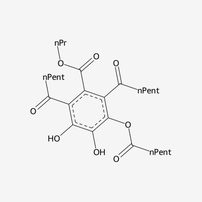 CCCCCC(=O)Oc1c(O)c(O)c(C(=O)CCCCC)c(C(=O)OCCC)c1C(=O)CCCCC